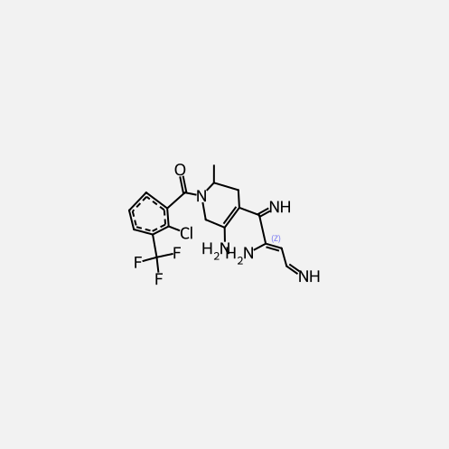 CC1CC(C(=N)/C(N)=C/C=N)=C(N)CN1C(=O)c1cccc(C(F)(F)F)c1Cl